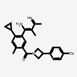 CC(=N)/C(C)=C(\N)c1cc(C(=O)N2CC(c3ccc(C#N)cc3)C2)c(C)cc1C1CC1